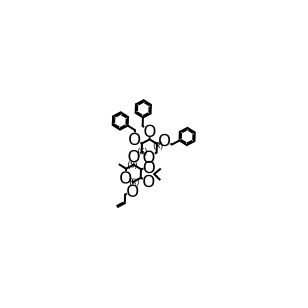 C=CCO[C@@H]1OC(C)[C@H](O[C@@H]2OC[C@@H](OCc3ccccc3)C(OCc3ccccc3)C2OCc2ccccc2)C2OC(C)(C)OC21